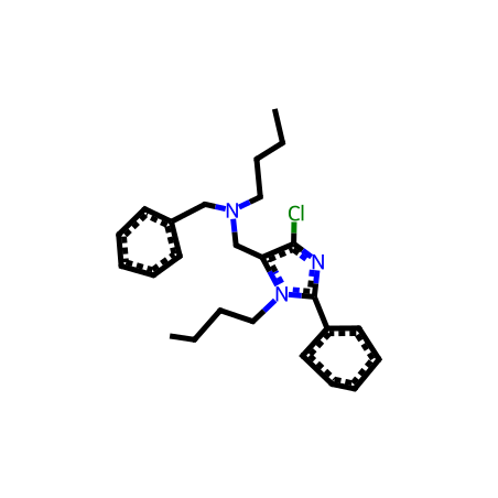 CCCCN(Cc1ccccc1)Cc1c(Cl)nc(-c2ccccc2)n1CCCC